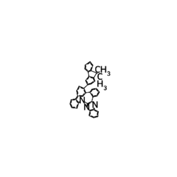 CC1(C)c2ccccc2-c2cc(-c3ccc4c5ccccc5n5c4c3-c3ccccc3-c3nc4ccccc4nc3-5)ccc21